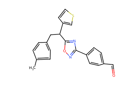 Cc1ccc(CC(c2ccsc2)c2nc(-c3ccc(C=O)cc3)no2)cc1